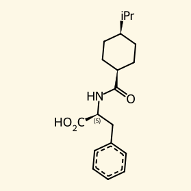 CC(C)[C@H]1CC[C@@H](C(=O)N[C@@H](Cc2ccccc2)C(=O)O)CC1